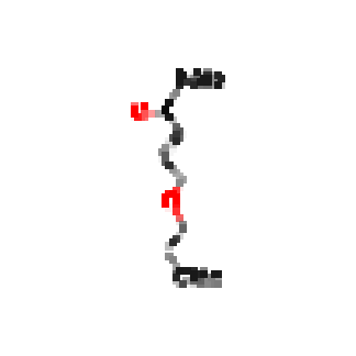 CNC(=O)/C=C/COCCOC